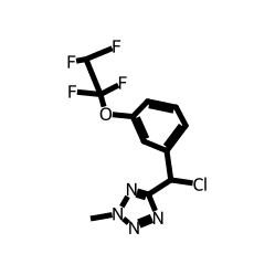 Cn1nnc(C(Cl)c2cccc(OC(F)(F)C(F)F)c2)n1